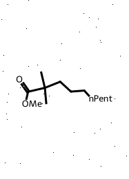 [CH2]OC(=O)C(C)(C)CCCCCCCC